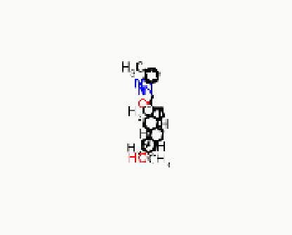 CC[C@]12CC[C@@](C)(O)C[C@H]1CC[C@H]1[C@H]3CC[C@H](C(=O)Cn4nnc5c(C)cccc54)[C@@]3(C)CC[C@@H]12